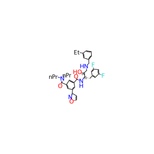 CCCN(CCC)C(=O)c1cc(C(=O)N[C@@H](Cc2cc(F)cc(F)c2)[C@H](O)CNCc2cccc(CC)c2)cc(-c2ccon2)c1